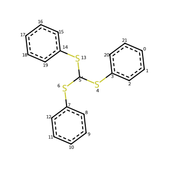 c1ccc(S[C](Sc2ccccc2)Sc2ccccc2)cc1